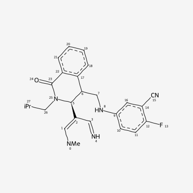 CN/C=C(\C=N)[C@@H]1C(CNc2ccc(F)c(C#N)c2)c2ccccc2C(=O)N1CC(C)C